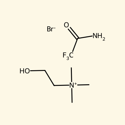 C[N+](C)(C)CCO.NC(=O)C(F)(F)F.[Br-]